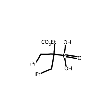 CCOC(=O)C(CC(C)C)(CC(C)C)P(=O)(O)O